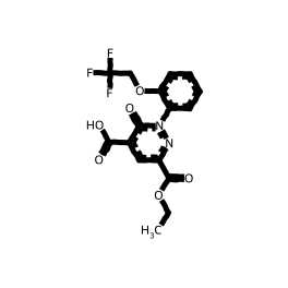 CCOC(=O)c1cc(C(=O)O)c(=O)n(-c2ccccc2OCC(F)(F)F)n1